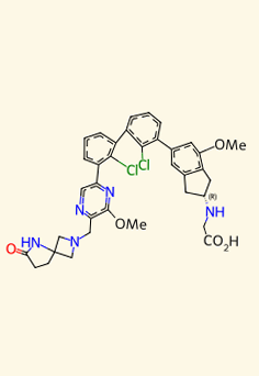 COc1cc(-c2cccc(-c3cccc(-c4cnc(CN5CC6(CCC(=O)N6)C5)c(OC)n4)c3Cl)c2Cl)cc2c1C[C@H](NCC(=O)O)C2